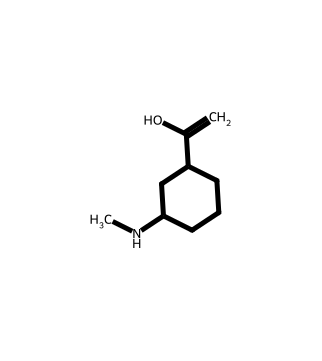 C=C(O)C1CCCC(NC)C1